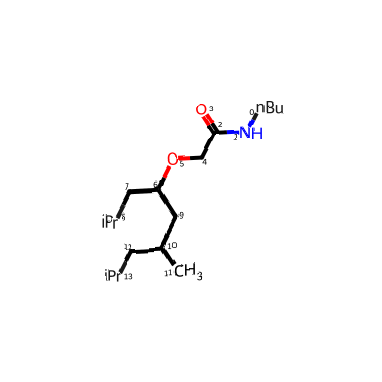 CCCCNC(=O)COC(CC(C)C)CC(C)CC(C)C